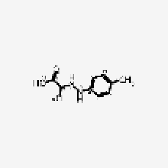 Cc1ccc(NNC(Cl)C(=O)O)cc1